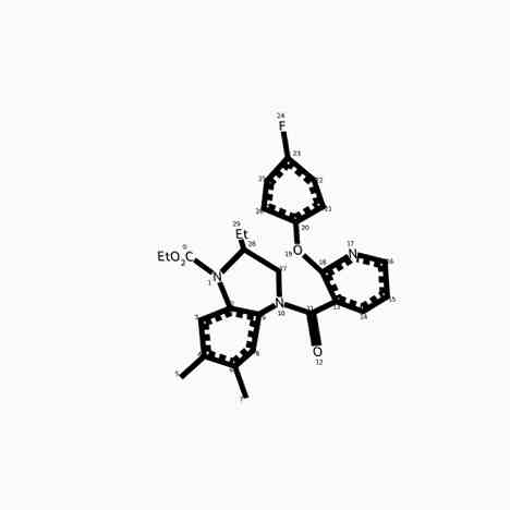 CCOC(=O)N1c2cc(C)c(C)cc2N(C(=O)c2cccnc2Oc2ccc(F)cc2)CC1CC